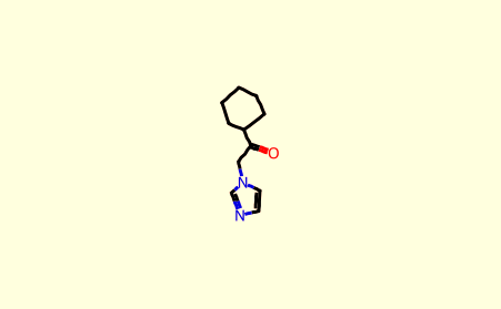 O=C(Cn1ccnc1)C1CCCCC1